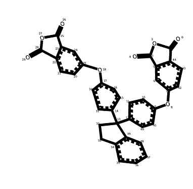 O=C1OC(=O)c2cc(Oc3ccc(C4(c5ccc(Oc6ccc7c(c6)C(=O)OC7=O)cc5)CCc5ccccc54)cc3)ccc21